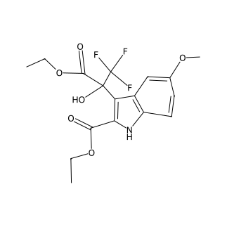 CCOC(=O)c1[nH]c2ccc(OC)cc2c1C(O)(C(=O)OCC)C(F)(F)F